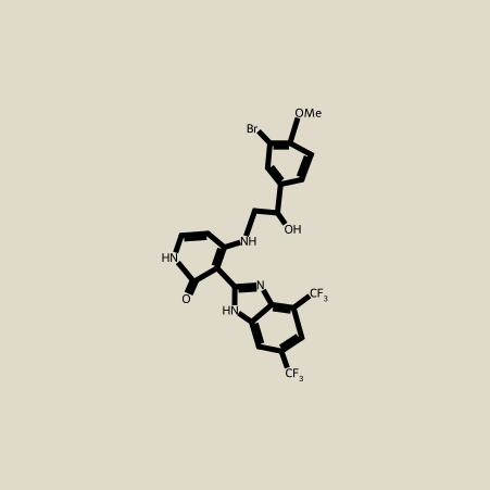 COc1ccc(C(O)CNc2cc[nH]c(=O)c2-c2nc3c(C(F)(F)F)cc(C(F)(F)F)cc3[nH]2)cc1Br